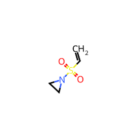 C=CS(=O)(=O)N1CC1